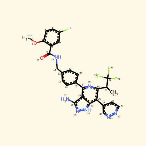 COc1ccc(F)cc1C(=O)NCc1ccc(-c2nc(C(C)C(F)(F)F)c(-c3ccnnc3)c3[nH]nc(N)c23)cc1